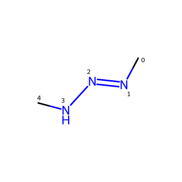 CN=NNC